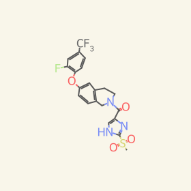 CS(=O)(=O)c1nc(C(=O)N2CCc3cc(Oc4ccc(C(F)(F)F)cc4F)ccc3C2)c[nH]1